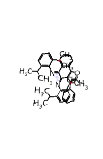 CC(C)c1cccc(C(C)C)c1/N=C1/C(=N/c2c(C(C)C)cccc2C(C)C)c2c(-c3ccccc3)coc2-c2ccccc21